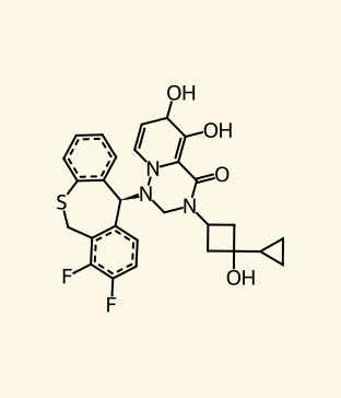 O=C1C2=C(O)C(O)C=CN2N([C@@H]2c3ccccc3SCc3c2ccc(F)c3F)CN1C1CC(O)(C2CC2)C1